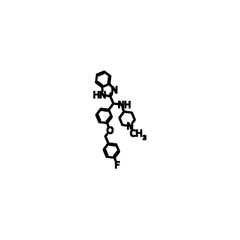 CN1CCC(NC(c2cccc(OCc3ccc(F)cc3)c2)c2nc3ccccc3[nH]2)CC1